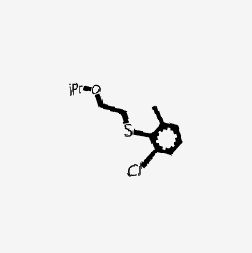 Cc1cccc(Cl)c1SCCOC(C)C